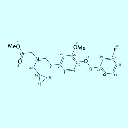 COC(=O)CN(CCc1ccc(OCc2cccc(F)c2)c(OC)c1)CC1CC1